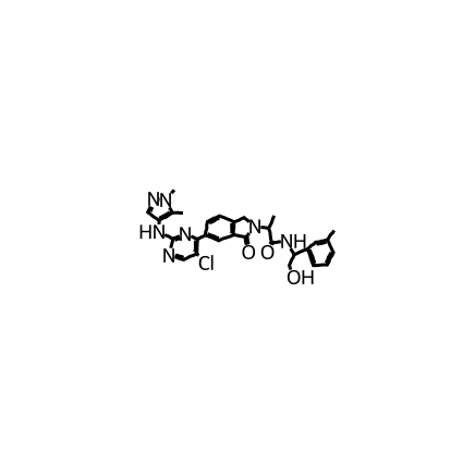 Cc1cccc(C(CO)NC(=O)C(C)N2Cc3ccc(-c4nc(Nc5cnn(C)c5C)ncc4Cl)cc3C2=O)c1